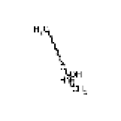 CCCCCCCCCCCCOCCC(O)NOCC